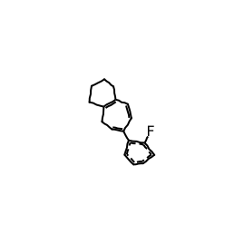 Fc1ccccc1C1=CCC2=C(C=C1)CCCC2